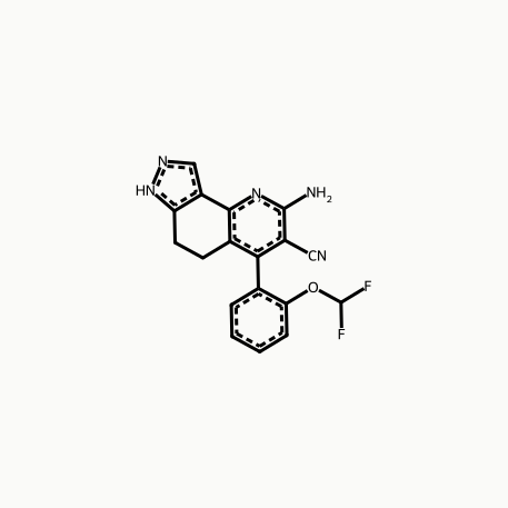 N#Cc1c(N)nc2c(c1-c1ccccc1OC(F)F)CCc1[nH]ncc1-2